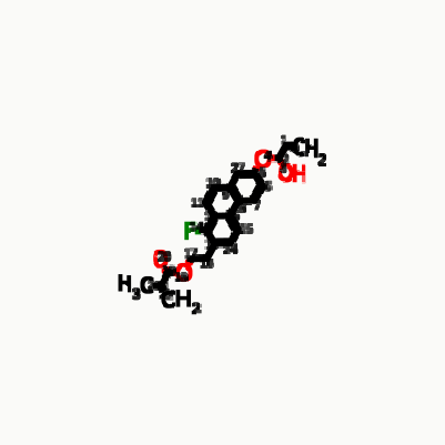 C=CC(O)Oc1ccc2c(ccc3c(F)c(CCOC(=O)C(=C)C)ccc32)c1